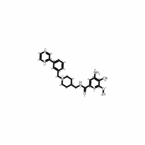 CCOc1nc(C(=O)NCC2CCN(Cc3cccc(-c4cnccn4)c3)CC2)cc(N)c1C#N